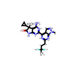 CCOC(=O)C1(C2CC2)C(=O)Nc2nc(-c3nc(CCC(F)(F)C(F)(F)F)nc4c3cnn4C)nc(N)c21